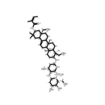 C/C=C(/C)C(=O)O[C@@H]1C[C@]2(CO)CCC3C(=CCC4[C@@]3(C)CCC3[C@]4(C)CC[C@H](O[C@H]4C[C@@H](O)[C@H](O[C@H]5C[C@@H](O)[C@H](O)[C@@H](CO)O5)[C@@H](C(=O)O)O4)[C@]3(C)CO)C2CC1(C)C